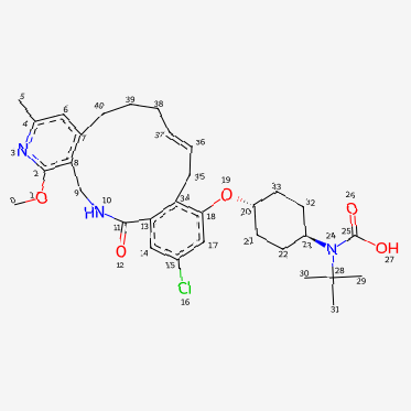 COc1nc(C)cc2c1CNC(=O)c1cc(Cl)cc(O[C@H]3CC[C@H](N(C(=O)O)C(C)(C)C)CC3)c1C/C=C/CCC2